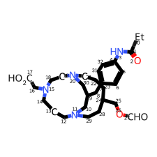 CCC(=O)Nc1ccc(CC2CN3CCCN(CC(=O)O)CCN(CCCC(COC=O)CC3)C2)cc1